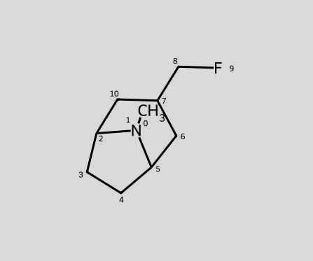 CN1C2CCC1CC(CF)C2